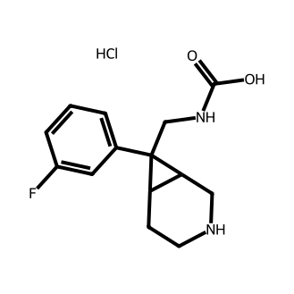 Cl.O=C(O)NCC1(c2cccc(F)c2)C2CCNCC21